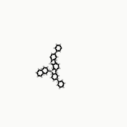 c1ccc(-c2ccc3sc4c(ccc5c6cc(-c7ccccc7)ccc6n(-c6ccc7ccccc7c6)c54)c3c2)cc1